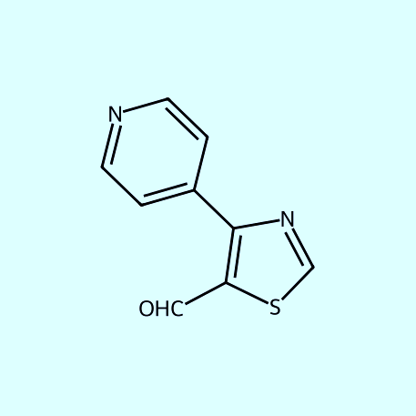 O=Cc1scnc1-c1ccncc1